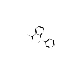 CN(c1cccnc1)c1ncccc1C(N)=O